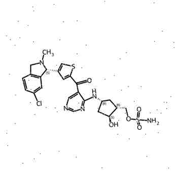 CN1Cc2ccc(Cl)cc2[C@H]1c1csc(C(=O)c2cncnc2N[C@@H]2C[C@H](COS(N)(=O)=O)[C@@H](O)C2)c1